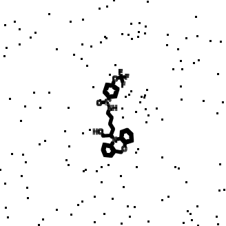 [O-][S+](NCCCCC(CO)N1c2ccccc2COc2ccccc21)c1ccc(OC(F)(F)F)cc1